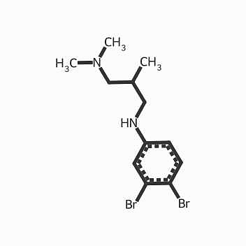 CC(CNc1ccc(Br)c(Br)c1)CN(C)C